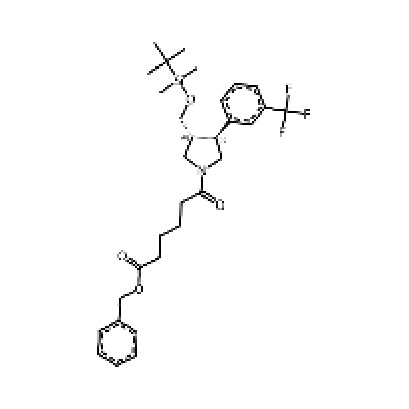 CC(C)(C)[Si](C)(C)OC[C@H]1CN(C(=O)CCCCC(=O)OCc2ccccc2)C[C@@H]1c1cccc(C(F)(F)F)c1